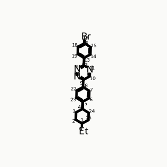 CCC1CCC(c2ccc(-c3cnc(-c4ccc(Br)cc4)nn3)cc2)CC1